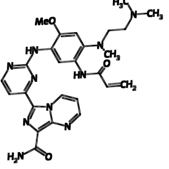 C=CC(=O)Nc1cc(Nc2nccc(-c3nc(C(N)=O)c4ncccn34)n2)c(OC)cc1N(C)CCN(C)C